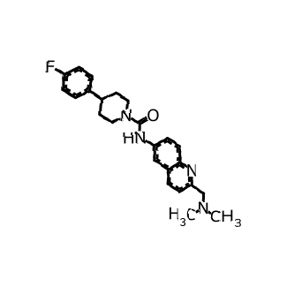 CN(C)Cc1ccc2cc(NC(=O)N3CCC(c4ccc(F)cc4)CC3)ccc2n1